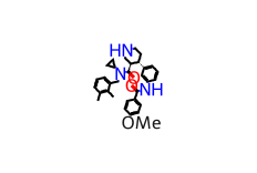 COc1ccc(C(=O)Nc2cccc([C@H]3CCNC[C@@H]3C(=O)N(Cc3cccc(C)c3C)C3CC3)c2)cc1